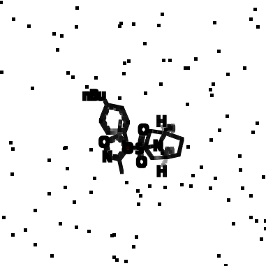 CCCCc1ccc(O[C@@H]2C[C@H]3CC[C@@H](C2)N3S(=O)(=O)c2c(C)noc2C)cc1